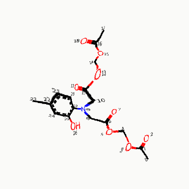 CC(=O)OCOC(=O)CN(CC(=O)OCOC(C)=O)c1ccc(C)cc1O